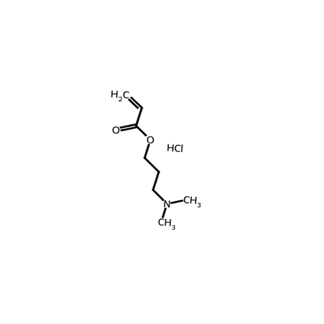 C=CC(=O)OCCCN(C)C.Cl